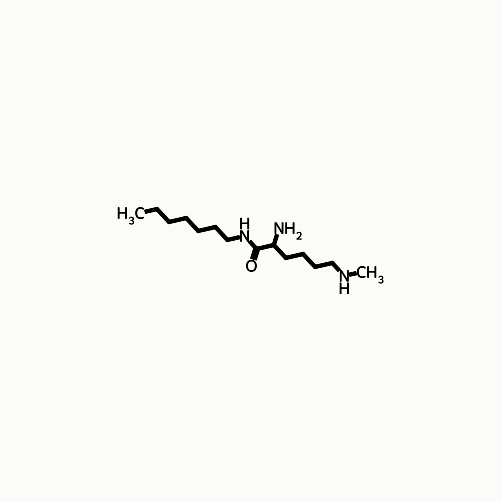 CCCCCCCNC(=O)C(N)CCCCNC